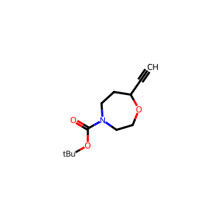 C#CC1CCN(C(=O)OC(C)(C)C)CCO1